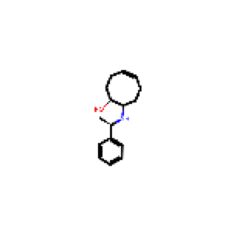 C[C@@H](N[C@@H]1CCC=CCC[C@H]1O)c1ccccc1